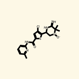 Cc1cccc(NC(=O)c2cc(Cl)c(C3C[S+]([O-])C(C)(C)C(=N)N3)s2)n1